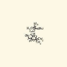 CC1(C)O[C@H]2[C@H](C[S@+]([O-])[C@@H]2CO[Si](C)(C)C(C)(C)C)O1